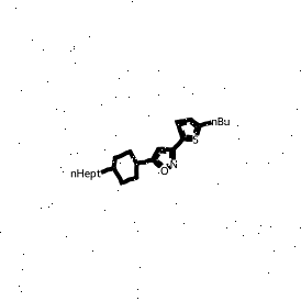 CCCCCCCC1CCC(c2cc(-c3ccc(CCCC)s3)no2)CC1